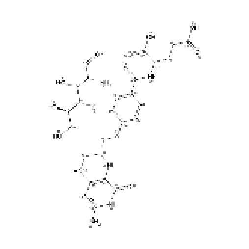 N[C@@H](C=O)[C@@H](O)[C@H](O)[C@H](O)CO.Nc1nc2c(c(=O)[nH]1)N[C@@H](CNc1ccc(C(=O)NC(CCC(=O)O)C(=O)O)cc1)CN2